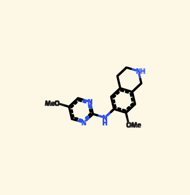 COc1cnc(Nc2cc3c(cc2OC)CNCC3)nc1